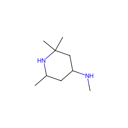 CNC1CC(C)NC(C)(C)C1